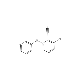 N#Cc1c(Cl)cccc1Oc1c[c]ccc1